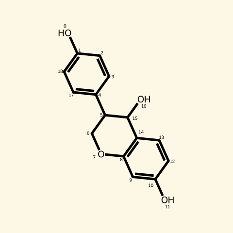 Oc1ccc(C2COc3cc(O)ccc3C2O)cc1